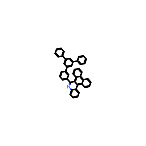 c1ccc(-c2cc(-c3ccccc3)cc(-c3cccc(-c4nc5ccccc5c5c6ccccc6c6ccccc6c45)c3)c2)cc1